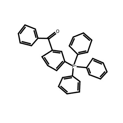 O=C(c1ccccc1)c1cccc([P+](c2ccccc2)(c2ccccc2)c2ccccc2)c1